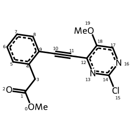 COC(=O)Cc1ccccc1C#Cc1nc(Cl)ncc1OC